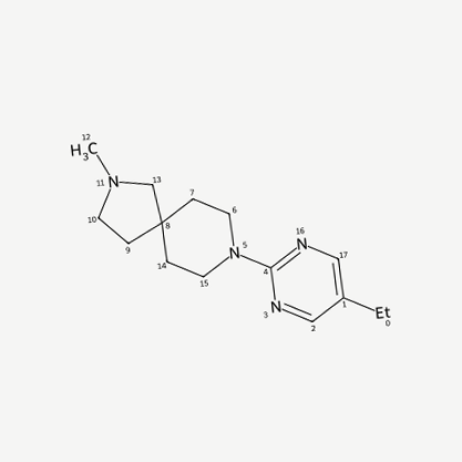 CCc1cnc(N2CCC3(CCN(C)C3)CC2)nc1